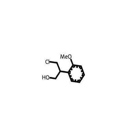 COc1ccccc1C(CO)CCl